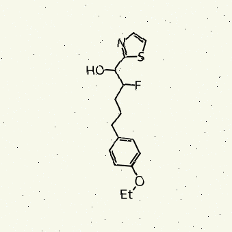 CCOc1ccc(CCCC(F)C(O)c2nccs2)cc1